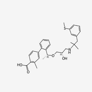 CSc1cccc(CC(C)(C)NC[C@H](O)CO[C@H](C)c2ccccc2-c2ccc(C(=O)O)c(C)c2)c1